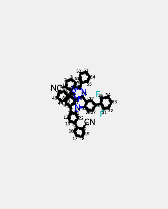 N#Cc1ccccc1-c1ccc2c3ccc(-c4ccccc4C#N)cc3n(-c3ccc(-c4c(F)cccc4F)cc3-c3nc(-c4ccccc4)nc(-c4ccccc4)n3)c2c1